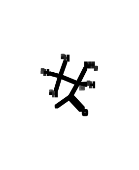 [2H]C([2H])([2H])[C@]([2H])(N)C(C)=O